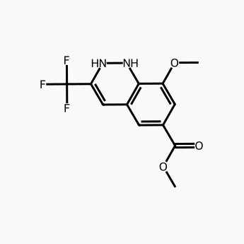 COC(=O)c1cc2c(c(OC)c1)NNC(C(F)(F)F)=C2